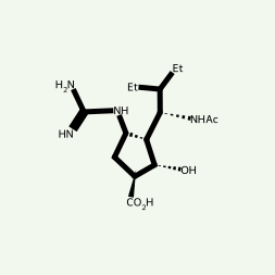 CCC(CC)[C@H](NC(C)=O)[C@H]1C(NC(=N)N)C[C@H](C(=O)O)[C@H]1O